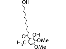 COc1cc(C)c(C(=O)CCCCCCCCCCO)c(O)c1OC